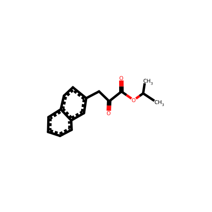 CC(C)OC(=O)C(=O)Cc1ccc2ccccc2c1